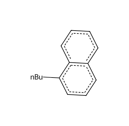 [CH2]CCCc1cccc2ccccc12